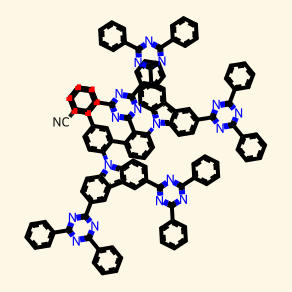 N#Cc1ccccc1-c1ccc(-n2c3ccc(-c4nc(-c5ccccc5)nc(-c5ccccc5)n4)cc3c3cc(-c4nc(-c5ccccc5)nc(-c5ccccc5)n4)ccc32)c(-c2cccc(-n3c4ccc(-c5nc(-c6ccccc6)nc(-c6ccccc6)n5)cc4c4cc(-c5nc(-c6ccccc6)nc(-c6ccccc6)n5)ccc43)c2-c2nc(-c3ccccc3)nc(-c3ccccc3)n2)c1